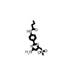 CCCC(=O)Nc1ccc(-c2nc(N)cc(CS(C)(=O)=O)n2)cc1